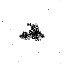 COc1ccccc1-c1nccc(COc2ccc(CC[C@@H](O)CO[Si](c3ccccc3)(c3ccccc3)C(C)(C)C)cc2CC(Oc2ncnc3sc(-c4ccc(F)cc4)c(-c4ccc(O)c(Cl)c4C)c23)C(=O)O)n1